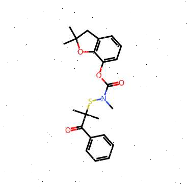 CN(SC(C)(C)C(=O)c1ccccc1)C(=O)Oc1cccc2c1OC(C)(C)C2